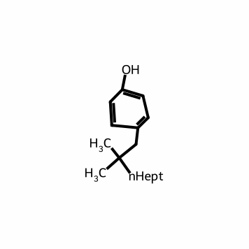 CCCCCCCC(C)(C)Cc1ccc(O)cc1